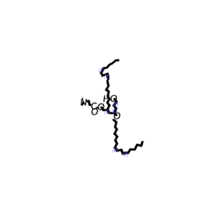 CCCCC/C=C\C/C=C\CCCCCCCCOC(/C=C(\CCCCCCCC/C=C\C/C=C\CCCCC)COC(=O)CCCN(C)C)=C/C=C/O